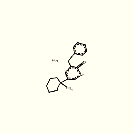 Cl.NC1(c2c[nH]c(=O)c(Cc3ccccc3)c2)CCCCC1